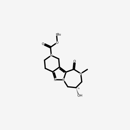 CN1C[C@H](O)Cn2nc3c(c2C1=O)CN(C(=O)OC(C)(C)C)CC3